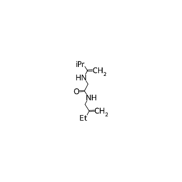 C=C(CC)CNC(=O)CNC(=C)C(C)C